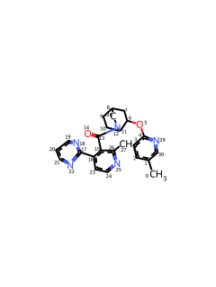 Cc1ccc(OC2CC3CCC2N(C(=O)c2c(-c4ncccn4)ccnc2C)C3)nc1